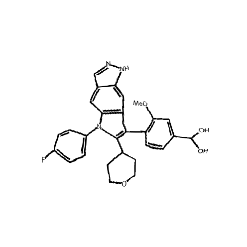 COc1cc(C(O)O)ccc1-c1c(C2CCOCC2)n(-c2ccc(F)cc2)c2cc3cn[nH]c3cc12